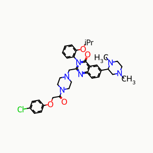 CC(C)Oc1ccccc1-n1c(CN2CCN(C(=O)COc3ccc(Cl)cc3)CC2)nc2ccc(C3CN(C)CCN3C)cc2c1=O